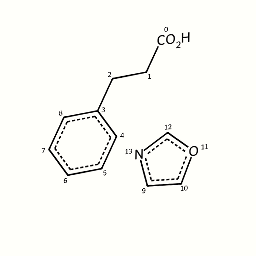 O=C(O)CCc1ccccc1.c1cocn1